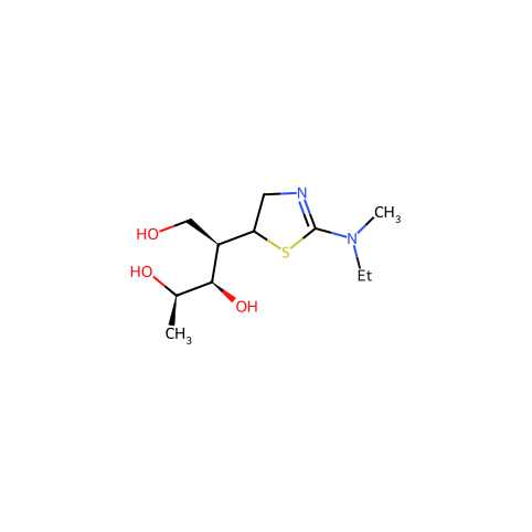 CCN(C)C1=NCC([C@H](CO)[C@@H](O)[C@@H](C)O)S1